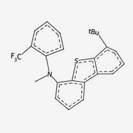 CN(c1ccccc1C(F)(F)F)c1cccc2c1sc1c(C(C)(C)C)cccc12